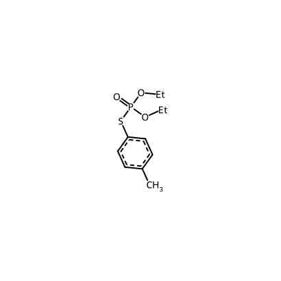 CCOP(=O)(OCC)Sc1ccc(C)cc1